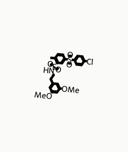 COc1cc(CCNS(=O)(=O)c2cc(S(=O)(=O)c3ccc(Cl)cc3)ccc2C)cc(OC)c1